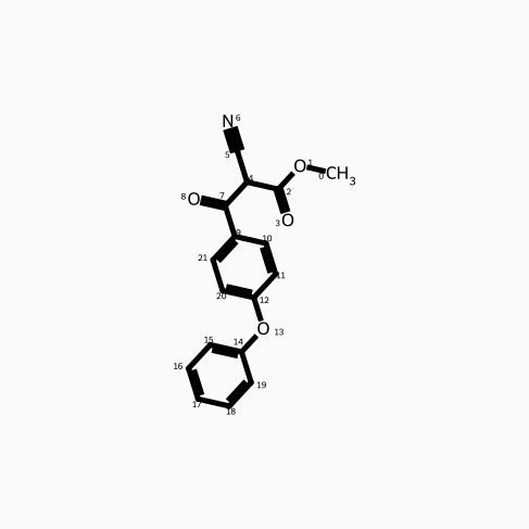 COC(=O)C(C#N)C(=O)c1ccc(Oc2ccccc2)cc1